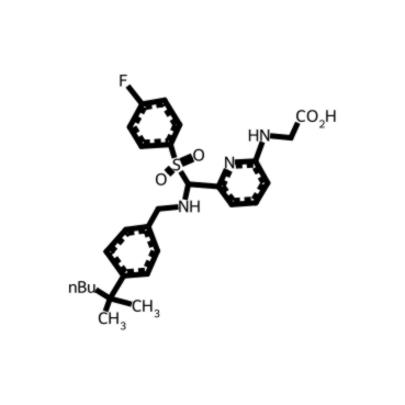 CCCCC(C)(C)c1ccc(CNC(c2cccc(NCC(=O)O)n2)S(=O)(=O)c2ccc(F)cc2)cc1